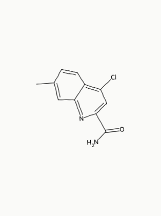 Cc1ccc2c(Cl)cc(C(N)=O)nc2c1